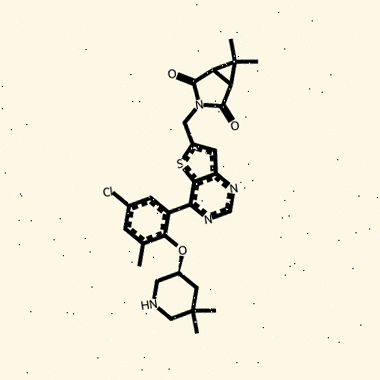 Cc1cc(Cl)cc(-c2ncnc3cc(CN4C(=O)C5C(C4=O)C5(C)C)sc23)c1O[C@@H]1CNCC(C)(C)C1